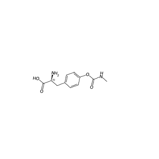 CNC(=O)Oc1ccc(C[C@H](N)C(=O)O)cc1